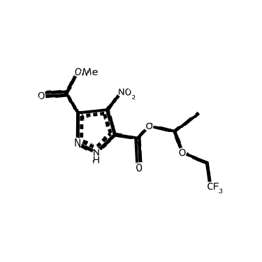 COC(=O)c1n[nH]c(C(=O)OC(C)OCC(F)(F)F)c1[N+](=O)[O-]